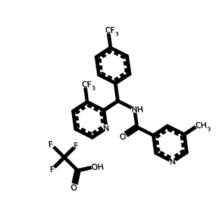 Cc1cncc(C(=O)NC(c2ccc(C(F)(F)F)cc2)c2ncccc2C(F)(F)F)c1.O=C(O)C(F)(F)F